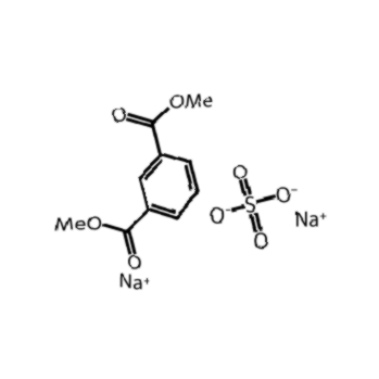 COC(=O)c1cccc(C(=O)OC)c1.O=S(=O)([O-])[O-].[Na+].[Na+]